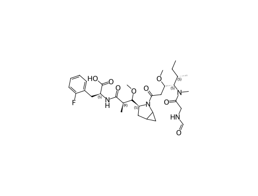 CC[C@H](C)[C@@H](C(CC(=O)N1C2CC2C[C@H]1C(OC)[C@@H](C)C(=O)N[C@@H](Cc1ccccc1F)C(=O)O)OC)N(C)C(=O)CNC=O